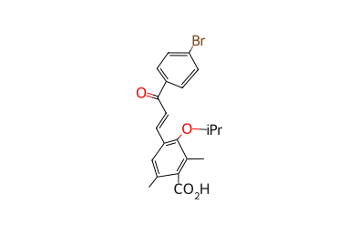 Cc1cc(C=CC(=O)c2ccc(Br)cc2)c(OC(C)C)c(C)c1C(=O)O